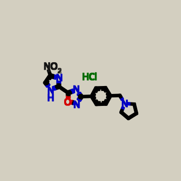 Cl.O=[N+]([O-])c1c[nH]c(-c2nc(-c3ccc(CN4CCCC4)cc3)no2)n1